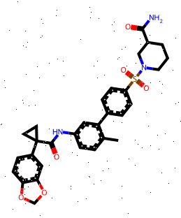 Cc1ccc(NC(=O)C2(c3ccc4c(c3)OCO4)CC2)cc1-c1ccc(S(=O)(=O)N2CCCC(C(N)=O)C2)cc1